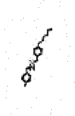 C=CCCCCc1ccc(C=NN=Cc2ccc(C)cc2)cc1